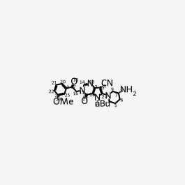 CCCCn1c(N2CCC[C@H](N)C2)c(C#N)c2ncn(CC(=O)c3cccc(OC)c3)c(=O)c21